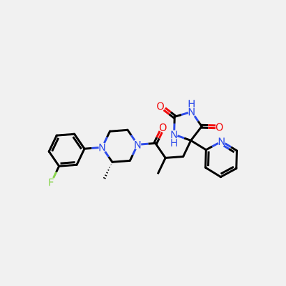 CC(CC1(c2ccccn2)NC(=O)NC1=O)C(=O)N1CCN(c2cccc(F)c2)[C@@H](C)C1